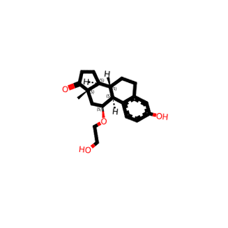 C[C@]12C[C@H](OCCO)[C@@H]3c4ccc(O)cc4CC[C@H]3[C@@H]1CCC2=O